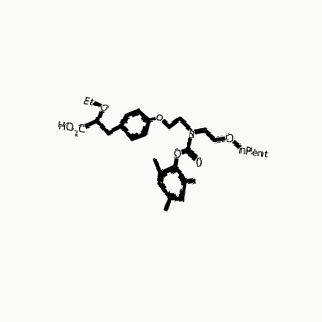 CCCCCOCCN(CCOc1ccc(CC(OCC)C(=O)O)cc1)C(=O)Oc1c(C)cc(C)cc1C